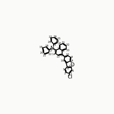 Clc1ccc2c(c1)oc1ccc(-c3ccc(N(c4ccccc4)c4ccccc4)c4ccccc34)cc12